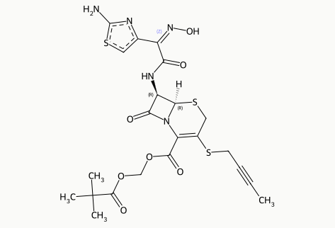 CC#CCSC1=C(C(=O)OCOC(=O)C(C)(C)C)N2C(=O)[C@@H](NC(=O)/C(=N\O)c3csc(N)n3)[C@H]2SC1